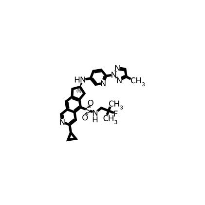 Cc1cnn(-c2ccc(N[C@@H]3Cc4cc5cnc(C6CC6)cc5c(S(=O)(=O)NCC(C)(C)F)c4C3)cn2)n1